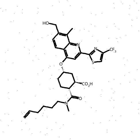 C=CCCCCN(C)C(=O)[C@@H]1CC[C@H](Oc2cc(-c3nc(C(F)(F)F)cs3)nc3c(C)c(CO)ccc23)C[C@H]1C(=O)O